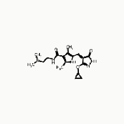 Cc1[nH]c(C=C2C(=O)NN=C2OC2CC2)c(C)c1C(=O)NCCN(C)C